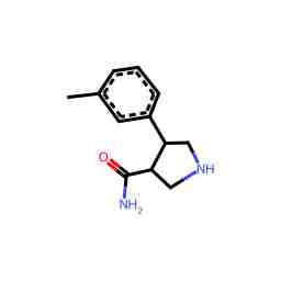 Cc1cccc(C2CNCC2C(N)=O)c1